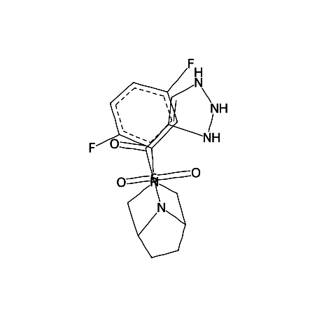 O=C(C1=CNNN1)N1CC2CCC(C1)N2S(=O)(=O)c1cc(F)ccc1F